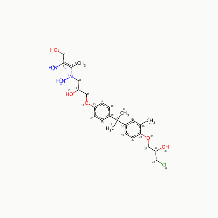 C/C(=C(/N)CO)N(N)CC(O)COc1ccc(C(C)(C)c2ccc(OCC(O)CCl)c(C)c2)cc1